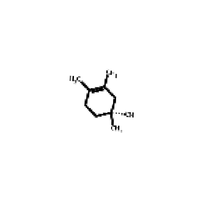 CC1=C(C)C[C@](C)(C#N)CC1